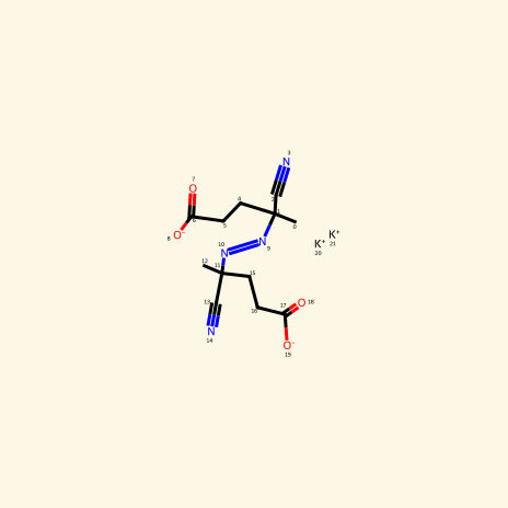 CC(C#N)(CCC(=O)[O-])N=NC(C)(C#N)CCC(=O)[O-].[K+].[K+]